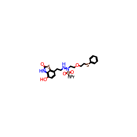 CCCS(=O)(=O)N(CCOCCSc1ccccc1)NCCc1ccc(O)c2[nH]c(=O)sc12